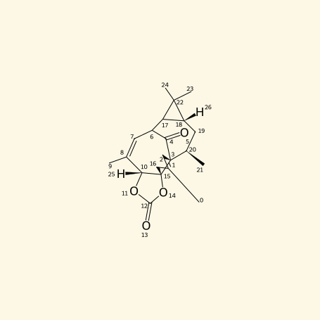 CC1=C[C@]23C(=O)C(C=C(C)[C@H]4OC(=O)O[C@]42C1)C1[C@@H](C[C@H]3C)C1(C)C